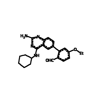 CCOc1ccc(C=O)c(-c2ccc3nc(N)nc(NC4CCCCC4)c3c2)c1